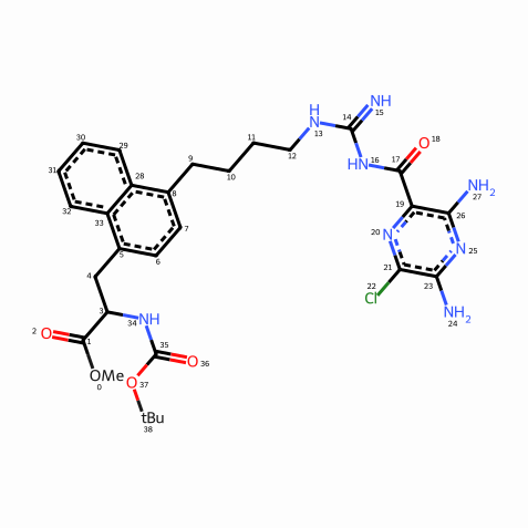 COC(=O)C(Cc1ccc(CCCCNC(=N)NC(=O)c2nc(Cl)c(N)nc2N)c2ccccc12)NC(=O)OC(C)(C)C